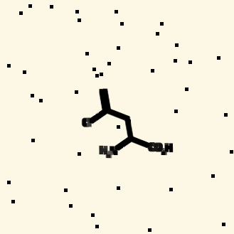 C=C(Cl)CC(N)C(=O)O